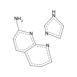 Nc1ccc2cccnc2n1.c1c[nH]cn1